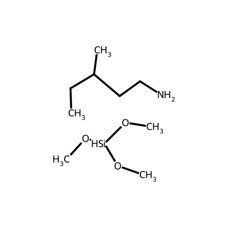 CCC(C)CCN.CO[SiH](OC)OC